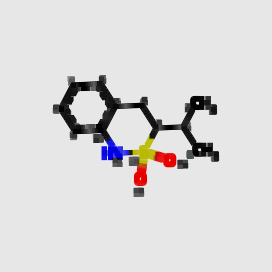 CC(C)C1Cc2ccccc2NS1(=O)=O